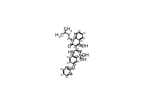 CC(C)CCn1c(=O)c(C2=NS(O)(O)c3cc(Oc4ncccn4)ccc3N2)c(O)c2cccnc21